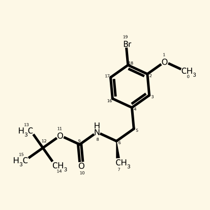 COc1cc(C[C@@H](C)NC(=O)OC(C)(C)C)ccc1Br